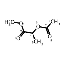 COC(=O)[C@H](C)OC(C)=O